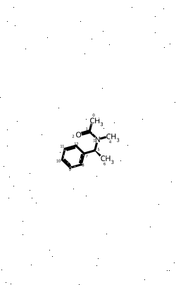 CC(=O)N(C)[C@@H](C)c1ccccc1